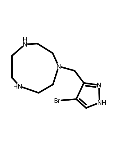 Brc1c[nH]nc1CN1CCNCCNCC1